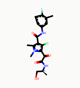 Cc1cc(NC(=O)c2c(Cl)c(C(=O)C(=O)N[C@@H](C)CO)n(C)c2C)ccc1F